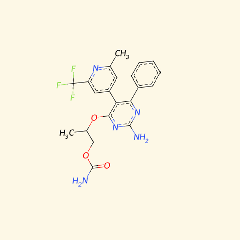 Cc1cc(-c2c(OC(C)COC(N)=O)nc(N)nc2-c2ccccc2)cc(C(F)(F)F)n1